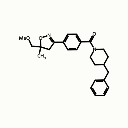 COCC1(C)CC(c2ccc(C(=O)N3CCC(Cc4ccccc4)CC3)cc2)=NO1